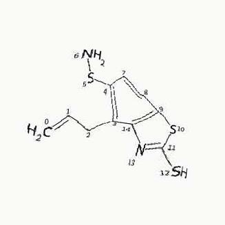 C=CCc1c(SN)ccc2sc(S)nc12